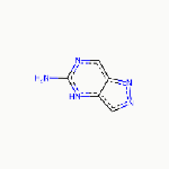 Nc1ncc2nncc-2[nH]1